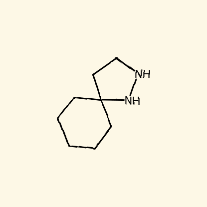 C1CCC2(CC1)CCNN2